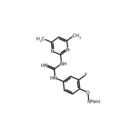 CCCCCOc1ccc(NC(=N)Nc2nc(C)cc(C)n2)cc1F